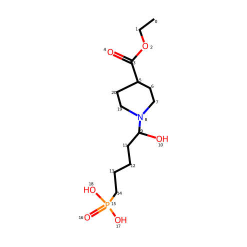 CCOC(=O)C1CCN(C(O)CCCCP(=O)(O)O)CC1